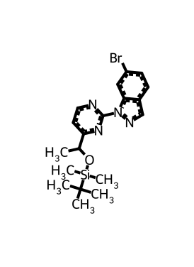 CC(O[Si](C)(C)C(C)(C)C)c1ccnc(-n2ncc3ccc(Br)cc32)n1